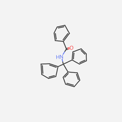 O=C(NC(c1ccccc1)(c1ccccc1)c1ccccc1)c1ccccc1